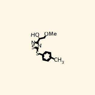 COC[C@@H](O)c1nsc(Sc2ccc(C)cc2)n1